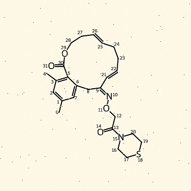 Cc1cc(C)c2c(c1)CC(=N\OCC(=O)N1CCSCC1)/C=C/CC/C=C/CCOC2=O